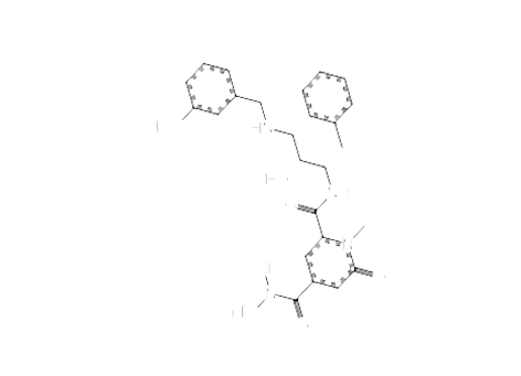 CCCN(CCC)C(=O)c1cc(C(=O)N[C@@H](Cc2ccccc2)[C@H](O)CNCc2cccc(C(F)(F)F)c2)n(C)c(=O)c1